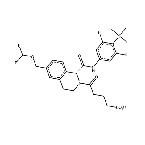 CS(C)(C)c1c(F)cc(NC(=O)[C@H]2c3ccc(COC(F)F)cc3CCN2C(=O)CCCC(=O)O)cc1F